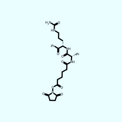 CC(C)C(=O)[C@H](CCCNC(N)=O)NC(=O)[C@@H](NC(=O)CCCCC(=O)ON1C(=O)CCC1=O)C(C)C